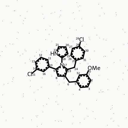 COc1cccc(Cc2cc(-c3cccc(Cl)c3)n(-c3ccc[nH]3)c2Cc2ccc(Cl)cc2)c1